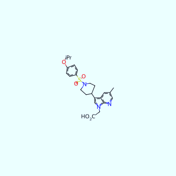 Cc1cnc2c(c1)c(C1CCN(S(=O)(=O)c3ccc(OC(C)C)cc3)CC1)cn2CC(=O)O